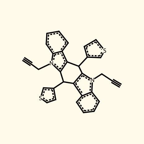 C#CCn1c2c(c3ccccc31)C(c1ccsc1)c1c(c3ccccc3n1CC#C)C2c1ccsc1